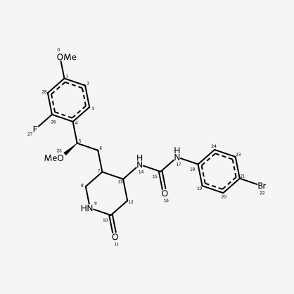 COc1ccc([C@@H](CC2CNC(=O)CC2NC(=O)Nc2ccc(Br)cc2)OC)c(F)c1